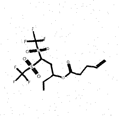 C=CCCC(=O)OC(CC)CC(S(=O)(=O)C(F)(F)F)S(=O)(=O)C(F)(F)F